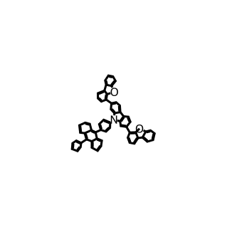 c1ccc(-c2c3ccccc3c(-c3ccc(-n4c5cc(-c6cccc7c6oc6ccccc67)ccc5c5ccc(-c6cccc7c6oc6ccccc67)cc54)cc3)c3ccccc23)cc1